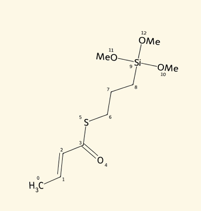 CC=CC(=O)SCCC[Si](OC)(OC)OC